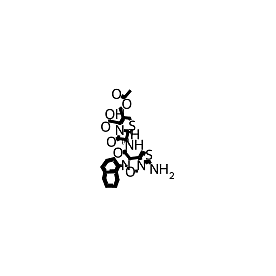 CON(c1cccc2ccccc12)C(C(=O)N[C@@H]1C(=O)N2C(C(=O)O)=C(COC(C)=O)CS[C@H]12)c1csc(N)n1